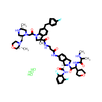 CNC(C)C(=O)NC(C(=O)N1Cc2ccc(NC(=O)CCNC(=O)[C@]3(C)CN(C(=O)CN4C[C@@H](C)NC[C@@H]4CN4CCOC[C@H]4C)c4cc(Cc5ccc(F)cc5)ccc43)cc2[C@H]1C(=O)Nc1c(F)cccc1F)C1CCOCC1.Cl.Cl.Cl